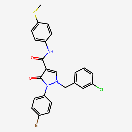 CSc1ccc(NC(=O)c2cn(Cc3cccc(Cl)c3)n(-c3ccc(Br)cc3)c2=O)cc1